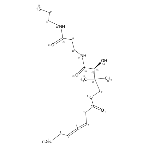 CCCCCCCCCCCC=C=CCC(=O)OCC(C)(C)[C@H](O)C(=O)NCCC(=O)NCCS